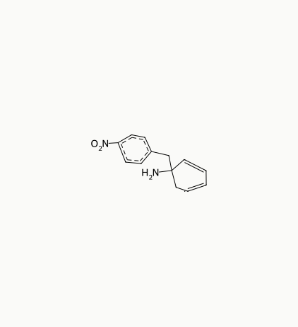 NC1(Cc2ccc([N+](=O)[O-])cc2)C=CC=[C]C1